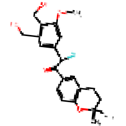 COc1cc(C([18F])C(=O)c2ccc3c(c2)CCC(C)(C)O3)cc(CO)c1CO